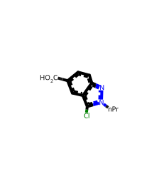 CCCn1nc2ccc(C(=O)O)cc2c1Cl